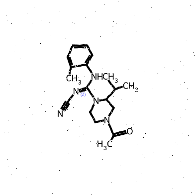 CC(=O)N1CCN(/C(=N\C#N)Nc2ccccc2C)C(C(C)C)C1